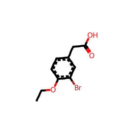 CCOc1ccc(CC(=O)O)cc1Br